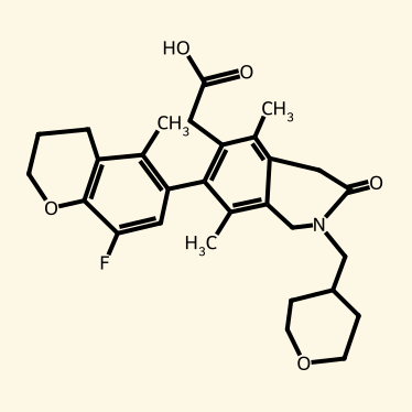 Cc1c(-c2c(C)c3c(c(C)c2CC(=O)O)CC(=O)N(CC2CCOCC2)C3)cc(F)c2c1CCCO2